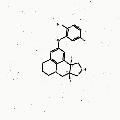 N#Cc1ccc(Cl)cc1Nc1cc2c3c(c1)[C@@H]1CNC[C@@H]1CN3CCC2